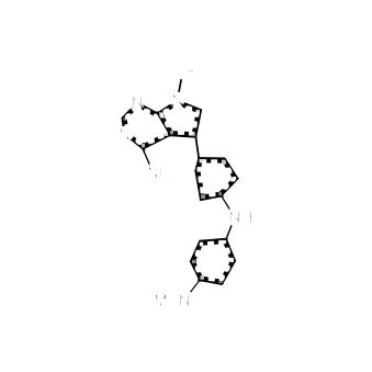 CNc1ccc(Nc2ccc(-c3cn(C(C)(C)C)c4ncnc(N)c34)cc2)cc1